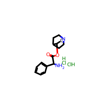 Cl.Cl.NC(C(=O)OC1CN2CCC1CC2)c1ccccc1